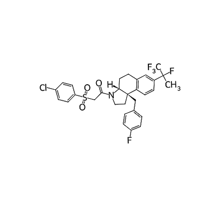 CC(F)(c1ccc2c(c1)CC[C@H]1N(C(=O)CS(=O)(=O)c3ccc(Cl)cc3)CC[C@@]21Cc1ccc(F)cc1)C(F)(F)F